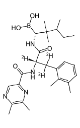 [2H]C([2H])(c1cccc(C)c1C)[C@]([2H])(NC(=O)c1cnc(C)c(C)n1)C(=O)N[C@H](B(O)O)C(C)(C)C(C)CC